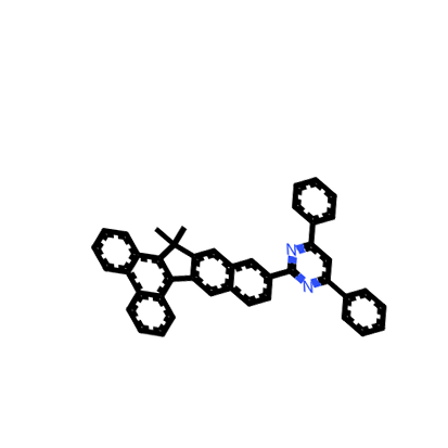 CC1(C)c2cc3cc(-c4nc(-c5ccccc5)cc(-c5ccccc5)n4)ccc3cc2-c2c1c1ccccc1c1ccccc21